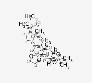 C/C=C\[C@@H](C)[C@H]1CCC2C3CC4(OCCO4)[C@H]4C[C@@H]5OC(C)(C)O[C@@H]5C[C@]4(C)C3CC[C@@]21C